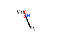 CNC(=O)CCCNC(=O)CCCCCCCCCCCCCCCS(=O)(=O)O